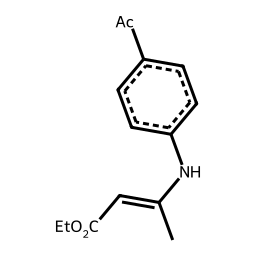 CCOC(=O)C=C(C)Nc1ccc(C(C)=O)cc1